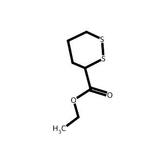 CCOC(=O)C1CCCSS1